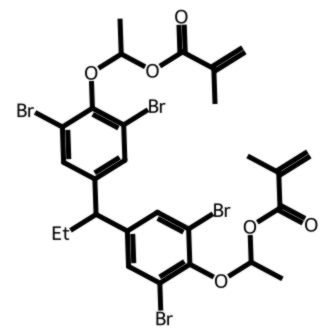 C=C(C)C(=O)OC(C)Oc1c(Br)cc(C(CC)c2cc(Br)c(OC(C)OC(=O)C(=C)C)c(Br)c2)cc1Br